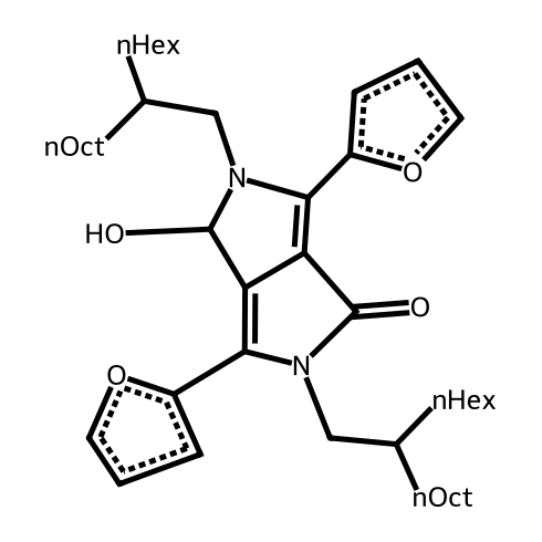 CCCCCCCCC(CCCCCC)CN1C(=O)C2=C(c3ccco3)N(CC(CCCCCC)CCCCCCCC)C(O)C2=C1c1ccco1